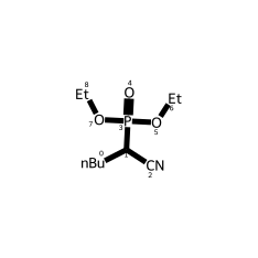 CCCCC(C#N)P(=O)(OCC)OCC